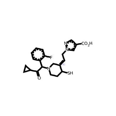 O=C(O)c1cnn(C/C=C2\CN(C(C(=O)C3CC3)c3ccccc3F)CCC2S)c1